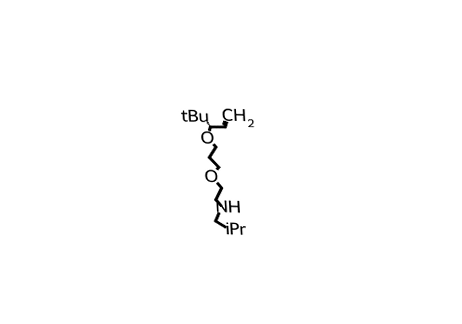 C=C[C@H](OCCCOCCNCC(C)C)C(C)(C)C